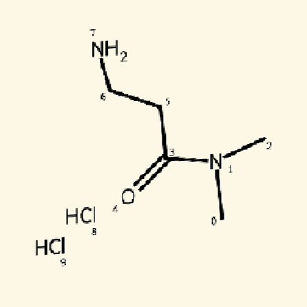 CN(C)C(=O)CCN.Cl.Cl